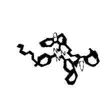 C=C/C=C\C=C/CC1(C)C=CC(c2nc(-c3ccc4ccccc4c3)nc(-c3c(C/C=C\C=c4\c5c(oc4=C)C=CCC5C)ccc4oc5ccccc5c34)n2)=CC1